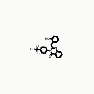 O=c1c2ccccc2nc(Cc2ccccc2O)n1-c1ccc(C(O)(C(F)(F)F)C(F)(F)F)cc1